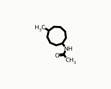 CC(=O)NC1CCCCC(C)CCC1